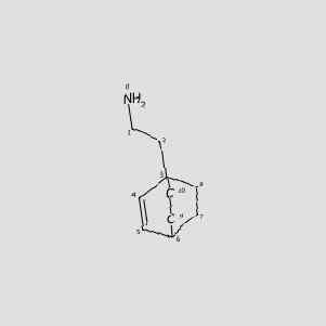 NCCC12C=CC(CC1)CC2